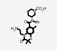 Cc1cc2c(cc1C(=O)N(C(C)C)[C@@H]1CCCN(C(=O)O)C1)N(CCN)C(=O)C(C)(C)S2